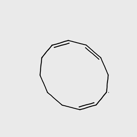 [CH]1C=CCCCCC=CC=CC1